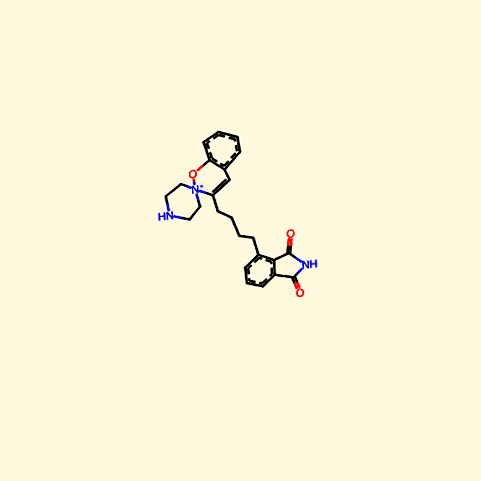 O=C1NC(=O)c2c(CCCCC3=Cc4ccccc4O[N+]34CCNCC4)cccc21